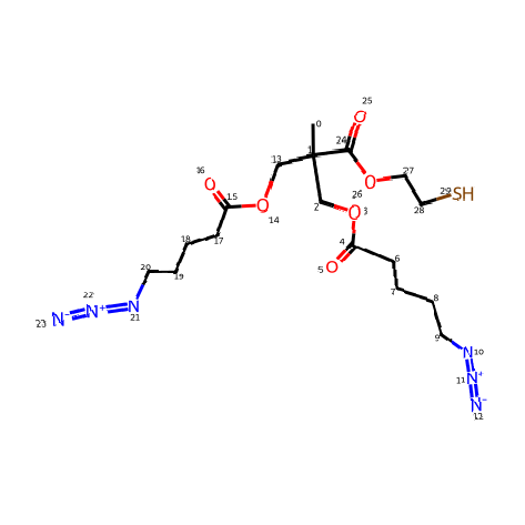 CC(COC(=O)CCCCN=[N+]=[N-])(COC(=O)CCCCN=[N+]=[N-])C(=O)OCCS